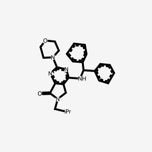 CC(C)CN1Cc2c(NC(c3ccccc3)c3ccccc3)nc(N3CCOCC3)nc2C1=O